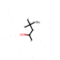 CCCCC(C)(C)CC(C)O